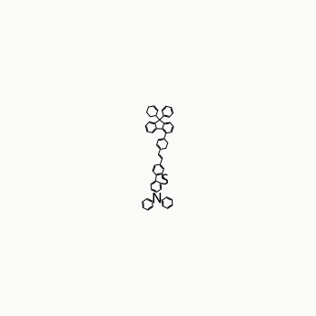 C1=CC(C2(c3ccccc3)c3ccccc3-c3c(C4=CC=C(/C=C/c5ccc6c(c5)sc5cc(N(c7ccccc7)c7ccccc7)ccc56)CC4)cccc32)CCC1